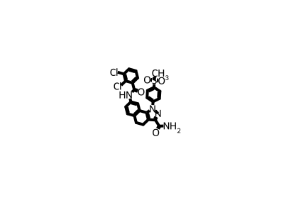 CS(=O)(=O)c1ccc(-n2nc(C(N)=O)c3c2-c2cc(NC(=O)c4cccc(Cl)c4Cl)ccc2CC3)cc1